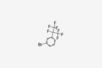 FC(F)(F)C(F)(c1cccc(Br)c1)C(F)(F)F